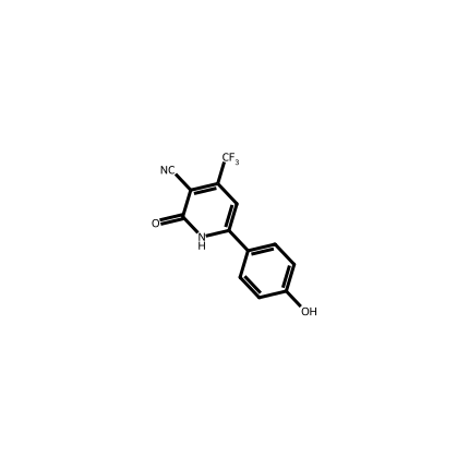 N#Cc1c(C(F)(F)F)cc(-c2ccc(O)cc2)[nH]c1=O